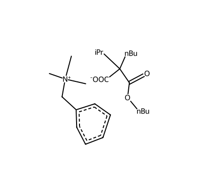 CCCCOC(=O)C(CCCC)(C(=O)[O-])C(C)C.C[N+](C)(C)Cc1ccccc1